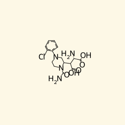 NC(=O)N1CCN(c2ccccc2Cl)CC1C(C(=O)O)[C@H](N)C(=O)O